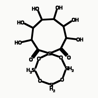 O=C1C(O)C(O)C(O)C(O)C(O)C(O)C(=O)[Si]12O[SiH2]O[SiH2]O[SiH2]O2